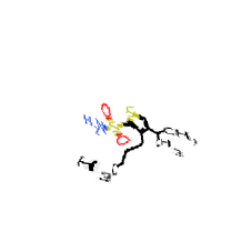 CCCCc1c(C(C)C)csc1S(N)(=O)=O